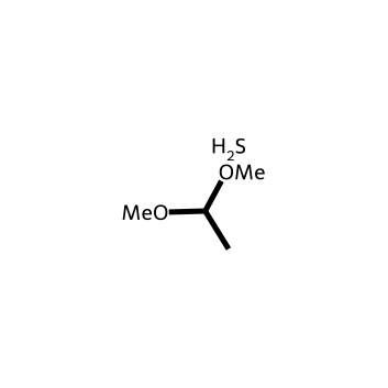 COC(C)OC.S